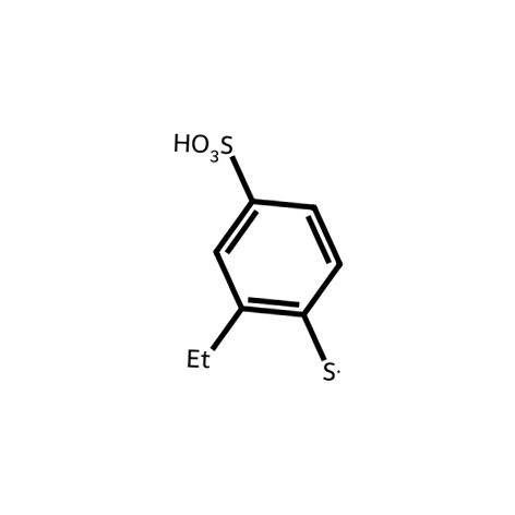 CCc1cc(S(=O)(=O)O)ccc1[S]